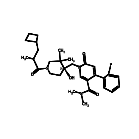 CC(CC1CCC1)C(=O)N1CC[C@@](O)(Cn2cc(C(=O)N(C)C)c(-c3ccccc3F)cc2=O)C(C)(C)C1